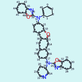 C1=CCCC(N(c2ccc3c(c2)oc2cc4cc(N(c5cccnc5)c5nc6ccccc6o5)ccc4cc23)c2nc3ccccc3o2)=C1